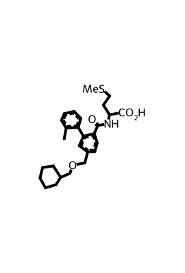 CSCCC(NC(=O)c1ccc(COCC2CCCCC2)cc1-c1ccccc1C)C(=O)O